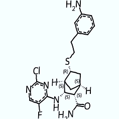 NC(=O)[C@H]1[C@H]2C[C@@H]([C@H]1Nc1nc(Cl)ncc1F)[C@H](SCCc1cccc(N)c1)C2